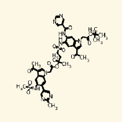 CC(=O)c1cn(CC(=O)OC(C)(C)C)c2cc(NC(=O)c3cncnc3)c(NS(=O)(=O)CCC(C)(C)OC(=O)Cn3cc(C(C)=O)c4cc(NS(C)(=O)=O)c(-c5cnc(C)nc5)cc43)cc12